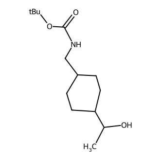 CC(O)C1CCC(CNC(=O)OC(C)(C)C)CC1